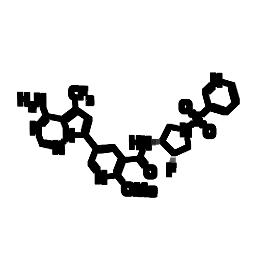 COc1ncc(-c2cc(C(F)(F)F)c3c(N)ncnn23)cc1C(=O)N[C@@H]1CN(S(=O)(=O)c2cccnc2)C[C@@H]1F